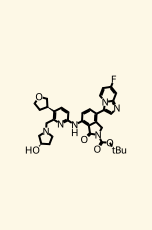 CC(C)(C)OC(=O)N1Cc2c(-c3cnc4cc(F)ccn34)ccc(Nc3ccc([C@H]4CCOC4)c(CN4CC[C@H](O)C4)n3)c2C1=O